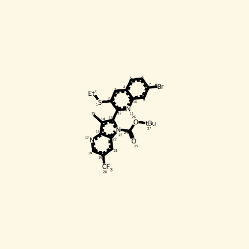 CCSc1cc2ccc(Br)cc2nc1-c1c(C)c2ncc(C(F)(F)F)cc2n1C(=O)OC(C)(C)C